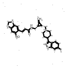 C=C1[C@H](CNC(=O)/C=C/c2cc3c(cc2N=O)OCO3)[C@H]1CN1CCC(c2noc3cc(F)ccc23)CC1